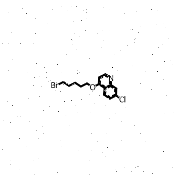 Clc1ccc2c(OCCCCCBr)ccnc2c1